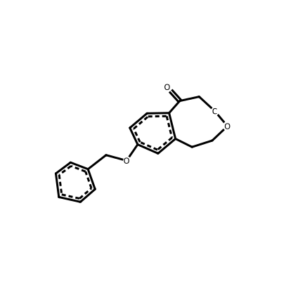 O=C1CCOCCc2cc(OCc3ccccc3)ccc21